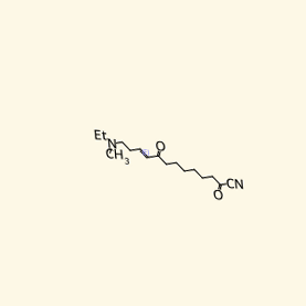 CCN(C)CC/C=C/C(=O)CCCCCCC(=O)C#N